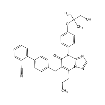 CCCc1c(Cc2ccc(-c3ccccc3C#N)cc2)c(=O)n(-c2ccc(OC(C)(C)CO)cc2)c2ncnn12